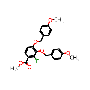 COC(=O)c1ccc(OCc2ccc(OC)cc2)c(OCc2ccc(OC)cc2)c1F